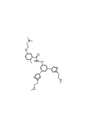 COCCn1cc(-c2cc(-c3cnn(CCOC)c3)cc([C@@H](C)NC(=O)c3cc(OCCN(C)C)ccc3C)c2)cn1